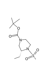 CC[C@@H]1CN(C(=O)OC(C)(C)C)CCN1S(C)(=O)=O